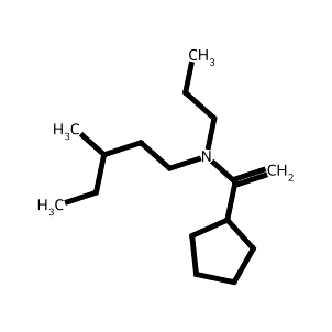 C=C(C1CCCC1)N(CCC)CCC(C)CC